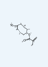 C=C(C)C(=O)OC1CCCC(O)CCC1